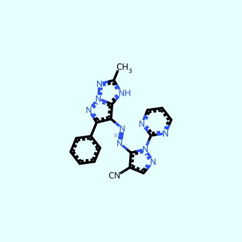 [C-]#[N+]c1cnn(-c2ncccn2)c1/N=N/c1c(-c2ccccc2)nn2nc(C)[nH]c12